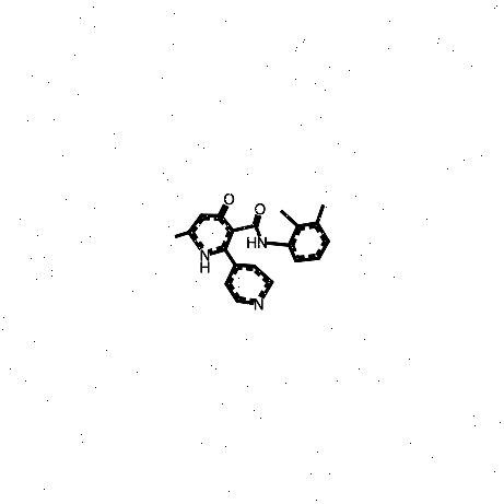 Cc1cc(=O)c(C(=O)Nc2cccc(C)c2C)c(-c2ccncc2)[nH]1